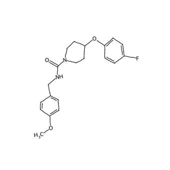 COc1ccc(CNC(=O)N2CCC(Oc3ccc(F)cc3)CC2)cc1